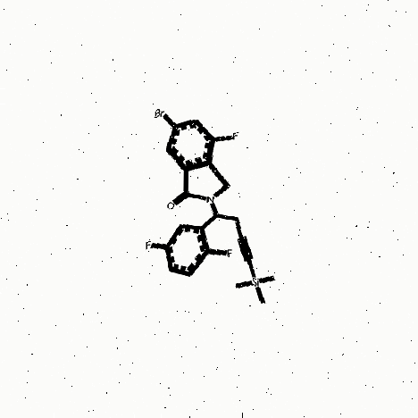 C[Si](C)(C)C#CCC(c1cc(F)ccc1F)N1Cc2c(F)cc(Br)cc2C1=O